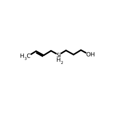 CC=CC[SiH2]CCCO